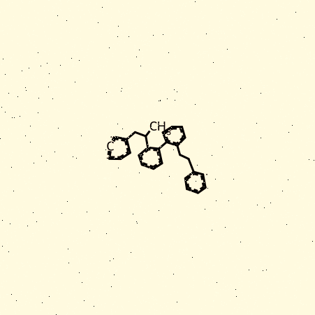 CC(Cc1[c]cccc1)c1ccccc1-c1ccccc1CCc1[c]cccc1